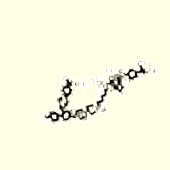 Cc1[nH]sc1-c1ccc([C@H](C)NC(=O)C2CCCN2C(=O)[C@@H](NC(=O)CCCCC(=O)N2CCC(N3CCN(C[C@]4(C)CCC(c5ccc(Cl)cc5)=C(CN5CCN(c6ccc(C(N)=O)cc6)CC5)C4)CC3)CC2)C(C)(C)C)cc1